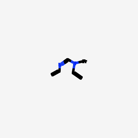 C=C/N=C\N(C=C)C(C)C